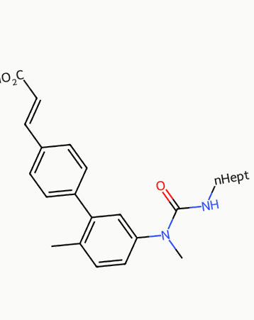 CCCCCCCNC(=O)N(C)c1ccc(C)c(-c2ccc(C=CC(=O)O)cc2)c1